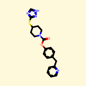 O=C(Oc1ccc(Cc2ccccn2)cc1)N1CCC(Sc2nc[nH]n2)CC1